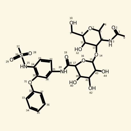 CC(=O)NC1C(C)OC(CO)C(O)C1OC1OC(C(=O)Nc2ccc(NS(C)(=O)=O)c(Oc3ccccc3)c2)C(O)C(O)C1O